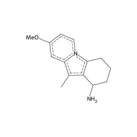 COc1ccn2c3c(c(C)c2c1)C(N)CCC3